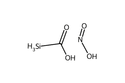 O=C(O)[SiH3].O=NO